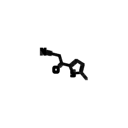 Cc1ccc(C(=O)CC#N)s1